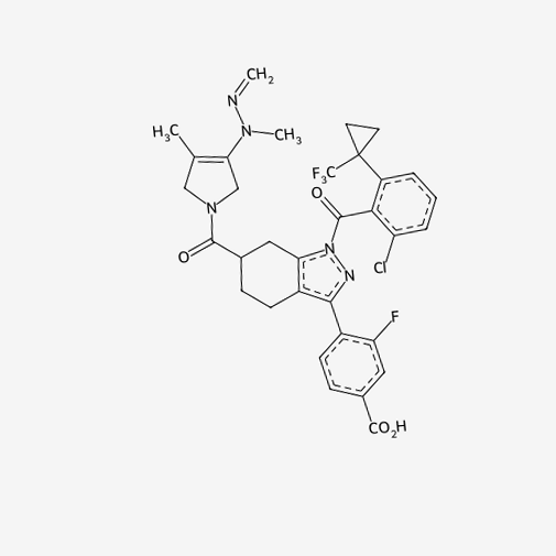 C=NN(C)C1=C(C)CN(C(=O)C2CCc3c(-c4ccc(C(=O)O)cc4F)nn(C(=O)c4c(Cl)cccc4C4(C(F)(F)F)CC4)c3C2)C1